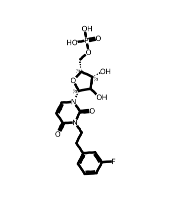 O=c1ccn([C@@H]2O[C@H](COP(=O)(O)O)[C@H](O)C2O)c(=O)n1CCc1cccc(F)c1